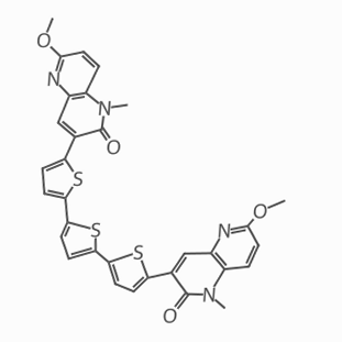 COc1ccc2c(cc(-c3ccc(-c4ccc(-c5ccc(-c6cc7nc(OC)ccc7n(C)c6=O)s5)s4)s3)c(=O)n2C)n1